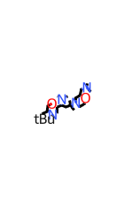 CC1COC(C(CC(C)(C)N2CCOC(CN(C)C)C2)N(C)C)CN1C(C)(C)C